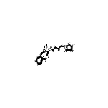 c1ccc2c(c1)CN=C(SCCCCN1CCCC1)NC2